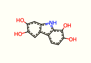 Oc1cc2[nH]c3c(O)c(O)ccc3c2cc1O